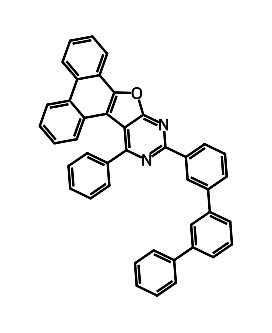 c1ccc(-c2cccc(-c3cccc(-c4nc(-c5ccccc5)c5c(n4)oc4c6ccccc6c6ccccc6c45)c3)c2)cc1